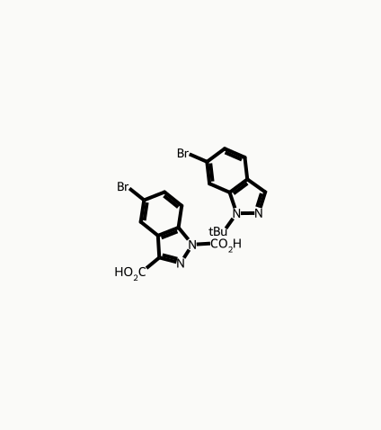 CC(C)(C)n1ncc2ccc(Br)cc21.O=C(O)c1nn(C(=O)O)c2ccc(Br)cc12